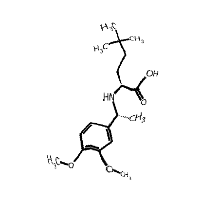 COc1ccc([C@@H](C)N[C@@H](CCC(C)(C)C)C(=O)O)cc1OC